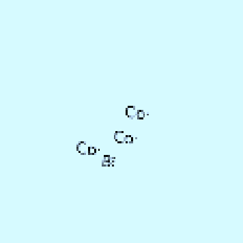 [B].[Co].[Co].[Co]